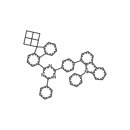 c1ccc(-c2nc(-c3ccc(-c4cccc5c6ccccc6n(-c6ccccc6)c45)cc3)nc(-c3cccc4c3-c3ccccc3C43C4CC5CC6CC3C564)n2)cc1